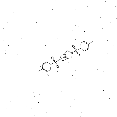 Cc1ccc(S(=O)(=O)N2CC34CCC3(C2)CN(S(=O)(=O)c2ccc(C)cc2)C4)cc1